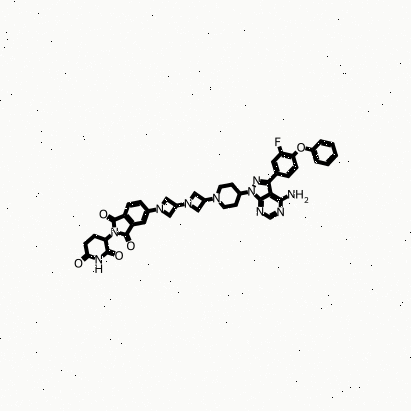 Nc1ncnc2c1c(-c1ccc(Oc3ccccc3)c(F)c1)nn2C1CCN(C2CN(C3CN(c4ccc5c(c4)C(=O)N(C4CCC(=O)NC4=O)C5=O)C3)C2)CC1